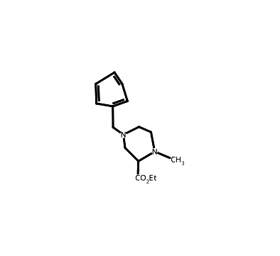 CCOC(=O)C1CN(Cc2ccccc2)CCN1C